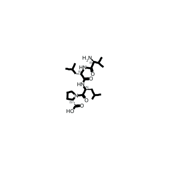 CC(C)C[C@H](NC(=O)[C@@H](N)C(C)C)C(=O)N[C@@H](CC(C)C)C(=O)N1CCC[C@H]1C(=O)O